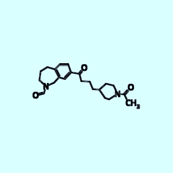 CC(=O)N1CCC(CCCC(=O)c2ccc3c(c2)CN(C=O)CCC3)CC1